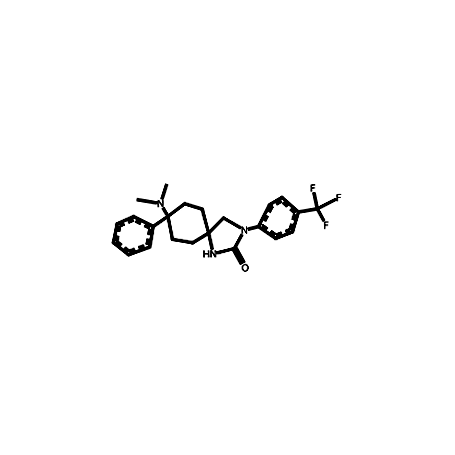 CN(C)C1(c2ccccc2)CCC2(CC1)CN(c1ccc(C(F)(F)F)cc1)C(=O)N2